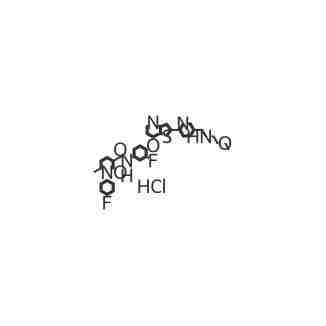 COCCNCc1ccc(-c2cc3nccc(Oc4ccc(NC(=O)c5ccc(C)n(-c6ccc(F)cc6)c5=O)cc4F)c3s2)nc1.Cl